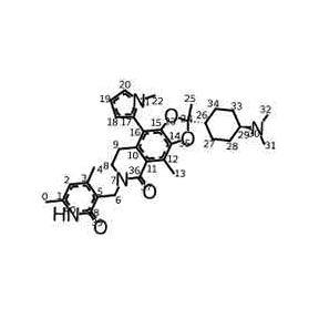 Cc1cc(C)c(CN2CCc3c(c(C)c4c(c3-c3cccn3C)OC(C)([C@H]3CC[C@H](N(C)C)CC3)O4)C2=O)c(=O)[nH]1